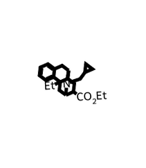 CCOC(=O)C1CC2C3Cc4ccccc4C2(CC)CC1N3CC1CC1